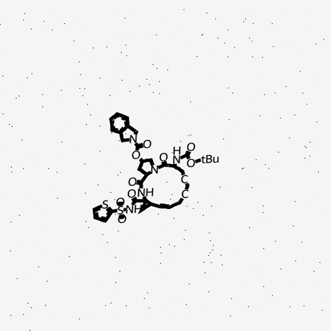 CC(C)(C)OC(=O)NC1CCCCCC=CC2CC2(C(=O)NS(=O)(=O)c2cccs2)NC(=O)C2CC(OC(=O)N3Cc4ccccc4C3)CN2C1=O